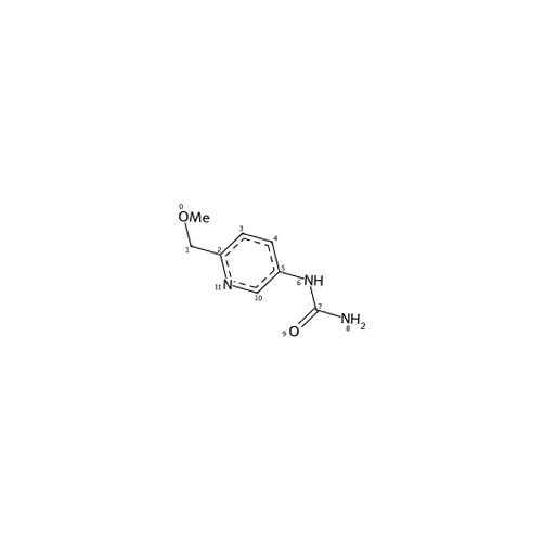 COCc1ccc(NC(N)=O)cn1